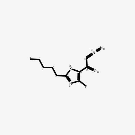 CCCCCc1nc(C)c(C(=O)C=[N+]=[N-])s1